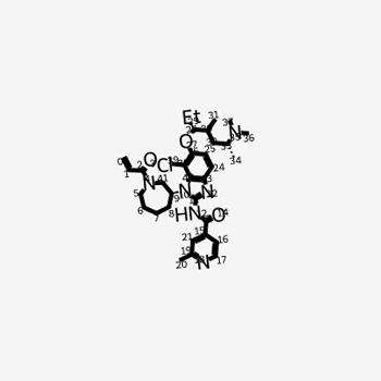 C=CC(=O)N1CCCC[C@@H](n2c(NC(=O)c3ccnc(C)c3)nc3ccc(O[C@H](CC)C(C)C[C@@H](C)N(C)C)c(Cl)c32)C1